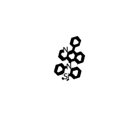 C[Si]1(C)c2ccccc2N(c2c3ccccc3c(-c3ccccc3)c3ncccc23)c2ccccc21